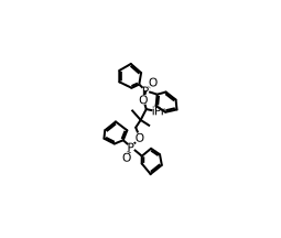 CC(C)C(OP(=O)(c1ccccc1)c1ccccc1)C(C)(C)COP(=O)(c1ccccc1)c1ccccc1